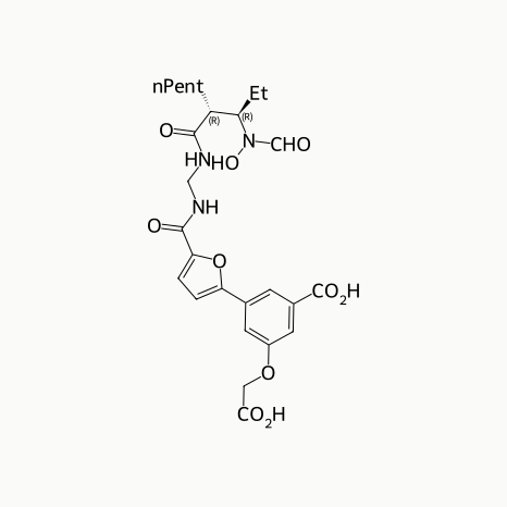 CCCCC[C@@H](C(=O)NCNC(=O)c1ccc(-c2cc(OCC(=O)O)cc(C(=O)O)c2)o1)[C@@H](CC)N(O)C=O